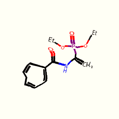 C=C(NC(=O)c1ccccc1)P(=O)(OCC)OCC